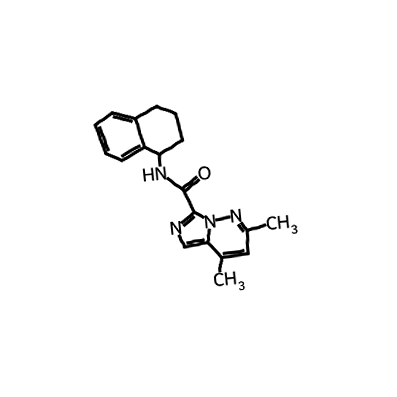 Cc1cc(C)c2cnc(C(=O)NC3CCCc4ccccc43)n2n1